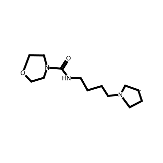 O=C(NCCCCN1C[CH]CC1)N1CCOCC1